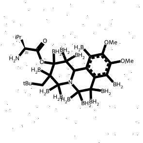 Bc1c(OC)c(OC)c(B)c2c1C1N(C(B)(B)C2(B)B)C(B)(B)C(B)(CC(C)(C)C)C(B)(OC(=O)[C@@H](N)C(C)C)C1(B)B